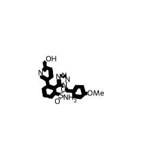 COc1ccc(Cn2nnnc2-c2c(-c3ccc(CO)nc3)cccc2S(N)(=O)=O)cc1